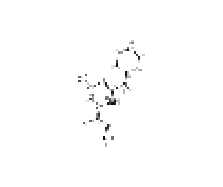 CC(C)/C(C=N)=C1\N=C(Cl)C=C(N(C)C2CCOCC2)N1